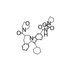 O=C(NS(=O)(=O)N1CCCC1)c1ccc2c(C3CCCCC3)c3n(c2c1)CC(C(=O)N1CCOCC1)Cc1ccccc1-3